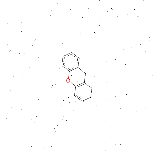 [CH]1C2=C(C=CCC2)Oc2ccccc21